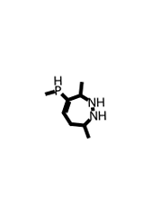 CPC1=CCC(C)NNC1C